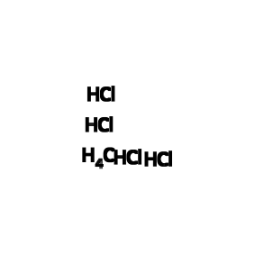 C.Cl.Cl.Cl.Cl